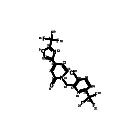 O=c1cc(-c2noc(C(F)(F)F)n2)ccn1Cc1nc(C(F)(F)F)ccc1Cl